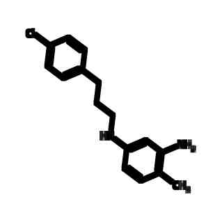 Cc1ccc(NCCCc2ccc(Cl)cc2)cc1N